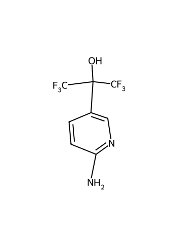 Nc1ccc(C(O)(C(F)(F)F)C(F)(F)F)cn1